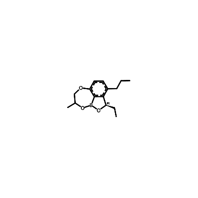 CCCc1ccc2c3c1[C@@H](CC)OB3OC(C)CO2